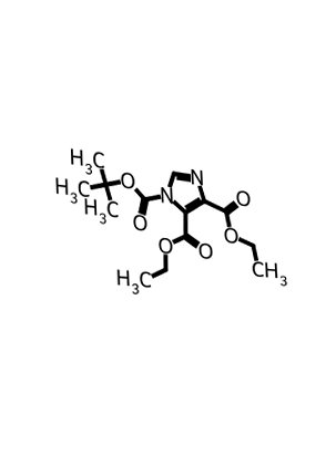 CCOC(=O)c1ncn(C(=O)OC(C)(C)C)c1C(=O)OCC